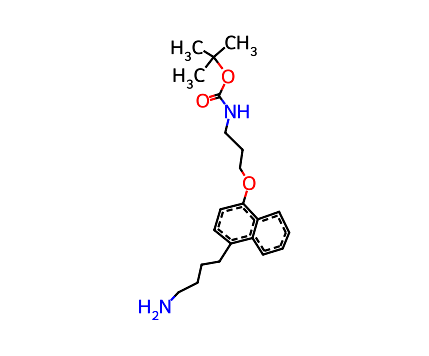 CC(C)(C)OC(=O)NCCCOc1ccc(CCCCN)c2ccccc12